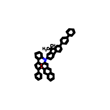 CC1(C)c2cc(-c3ccc(-c4ccccc4)cc3)ccc2-c2ccc(N(c3ccc4cc5ccccc5cc4c3)c3ccccc3-c3ccc(-c4ccccc4)cc3)cc21